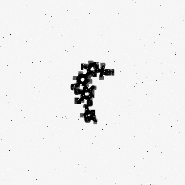 Cc1nc(COc2nc(C)n(-c3cc(-c4nc(C(C)(C)O)ncc4F)ccc3Cl)c(=O)c2Br)co1